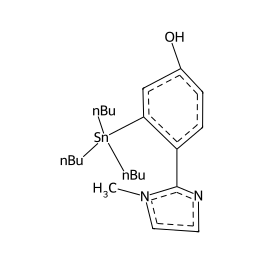 CCC[CH2][Sn]([CH2]CCC)([CH2]CCC)[c]1cc(O)ccc1-c1nccn1C